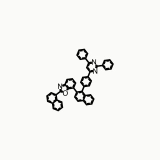 c1ccc(-c2cc(-c3ccc(-c4c(-c5cccc6nc(-c7cccc8ccccc78)oc56)ccc5ccccc45)cc3)nc(-c3ccccc3)n2)cc1